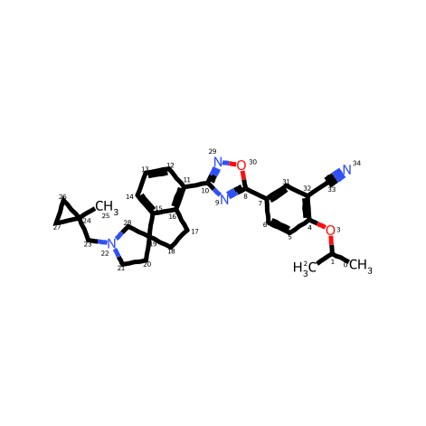 CC(C)Oc1ccc(-c2nc(-c3cccc4c3CCC43CCN(CC4(C)CC4)C3)no2)cc1C#N